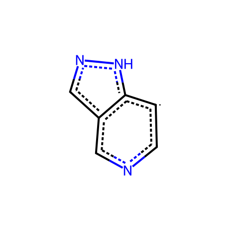 [c]1cncc2cn[nH]c12